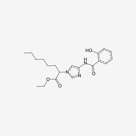 CCCCCCC(C(=O)OCC)n1cnc(NC(=O)c2ccccc2O)c1